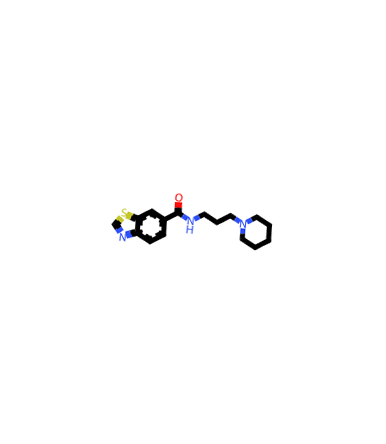 O=C(NCCCN1CCCCC1)c1ccc2ncsc2c1